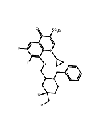 CCOC(=O)c1cn(C2CC2)c2c(OCC3CC(O)(CO)CCN3Cc3ccccc3)c(F)c(F)cc2c1=O